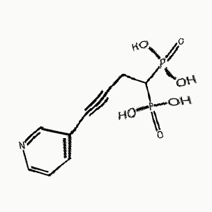 O=P(O)(O)C(CC#Cc1cccnc1)P(=O)(O)O